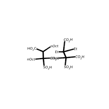 CCCCCCC(C(=O)O)(C(CC)(CC)C(=O)O)S(=O)(=O)O.CCCCCCCCC(C(=O)O)C(CCCCCCCC)(C(=O)O)S(=O)(=O)O